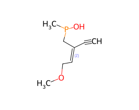 C#C/C(=C/COC)CP(C)O